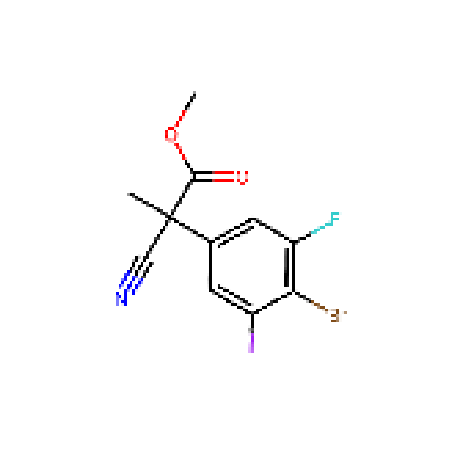 COC(=O)C(C)(C#N)c1cc(F)c(Br)c(I)c1